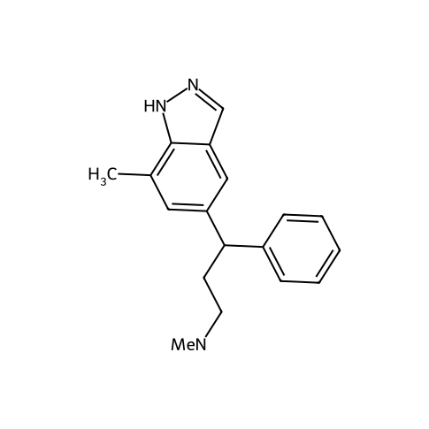 CNCCC(c1ccccc1)c1cc(C)c2[nH]ncc2c1